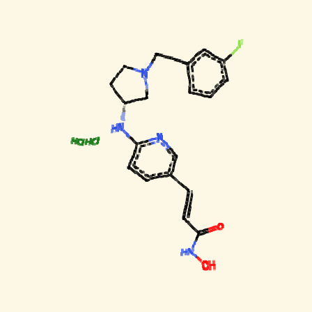 Cl.Cl.O=C(C=Cc1ccc(N[C@@H]2CCN(Cc3cccc(F)c3)C2)nc1)NO